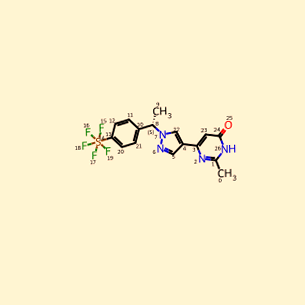 Cc1nc(-c2cnn([C@@H](C)c3ccc(S(F)(F)(F)(F)F)cc3)c2)cc(=O)[nH]1